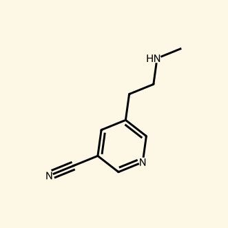 CNCCc1cncc(C#N)c1